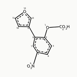 O=C(O)Oc1ccc([N+](=O)[O-])cc1-c1ccoc1